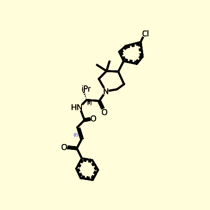 CC(C)[C@@H](NC(=O)/C=C/C(=O)c1ccccc1)C(=O)N1CCC(c2ccc(Cl)cc2)C(C)(C)C1